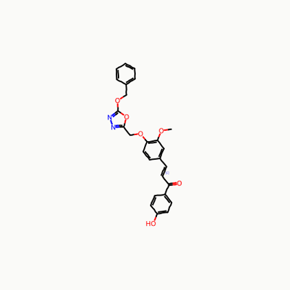 COc1cc(/C=C/C(=O)c2ccc(O)cc2)ccc1OCc1nnc(OCc2ccccc2)o1